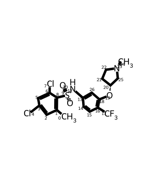 Cc1cc(Cl)cc(Cl)c1S(=O)(=O)Nc1ccc(C(F)(F)F)c(O[C@@H]2CCN(C)C2)c1